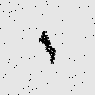 C=CCCc1c(F)cc2cc(C3CCC4CC(CCCCC)CCC4C3)ccc2c1F